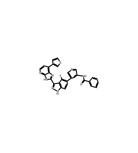 O=C(Nc1cncc(-c2ccc3[nH]nc(-c4nc5c(-c6ccsc6)ccnc5[nH]4)c3c2F)c1)c1ccccc1